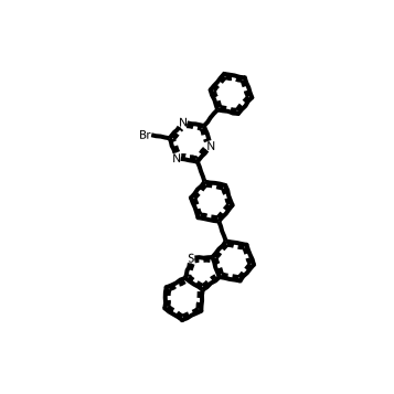 Brc1nc(-c2ccccc2)nc(-c2ccc(-c3cccc4c3sc3ccccc34)cc2)n1